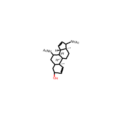 CC(=O)NC1CC2CC(O)C=C[C@]2(C)[C@@H]2CC[C@]3(C)C(NC(C)=O)C=C[C@H]3[C@H]12